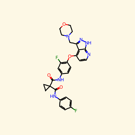 O=C(Nc1ccc(F)cc1)C1(C(=O)Nc2ccc(Oc3ccnc4[nH]nc(CN5CCOCC5)c34)c(F)c2)CC1